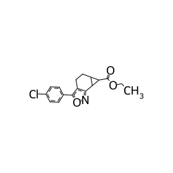 CCOC(=O)C1C2CCc3c(noc3-c3ccc(Cl)cc3)C21